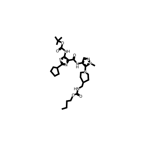 CCCCOC(=O)NCC1CCN(c2c(NC(=O)c3nc(C4CCCC4)sc3NC(=O)OC(C)(C)C)cnn2C)CC1